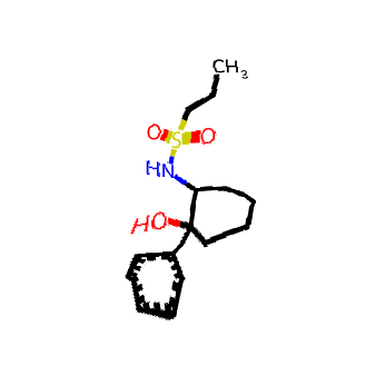 CCCS(=O)(=O)NC1CCCCC1(O)c1ccccc1